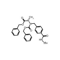 CN(C(=O)OCc1ccccc1)N(Cc1ccc(C(=O)NC(C)(C)C)cc1)C(=O)OCc1ccccc1